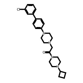 O=C(CN1CCN(c2ccc(-c3cccc(Cl)c3)cc2)CC1)N1CCN(C2CCC2)CC1